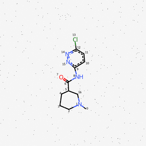 CN1CCCC(C(=O)Nc2ccc(Cl)nn2)C1